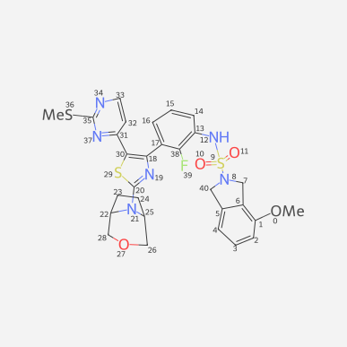 COc1cccc2c1CN(S(=O)(=O)Nc1cccc(-c3nc(N4C5CCC4COC5)sc3-c3ccnc(SC)n3)c1F)C2